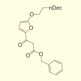 CCCCCCCCCCCCOc1ccc(C(=O)CC(=O)OCc2ccccc2)o1